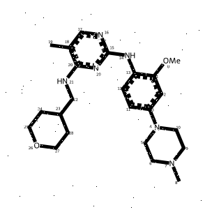 COc1cc(N2CCN(C)CC2)ccc1Nc1ncc(C)c(NCC2CCOCC2)n1